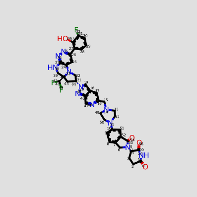 O=C1CC[C@H](N2Cc3ccc(N4CCN(Cc5cc6cn([C@H]7CN8c9cc(-c%10cccc(F)c%10O)nnc9NC[C@@]8(C(F)F)C7)nc6cn5)CC4)cc3C2=O)C(=O)N1